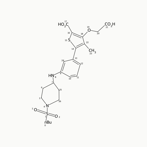 CCCCS(=O)(=O)N1CCC(Nc2cccc(-c3sc(C(=O)O)c(OCC(=O)O)c3C)c2)CC1